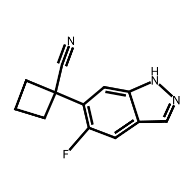 N#CC1(c2cc3[nH]ncc3cc2F)CCC1